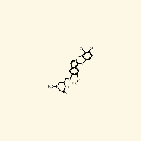 COc1cc2c(Nc3ccc(Cl)c(Cl)c3F)ncnc2cc1OC[C@@H]1CN(C)CC(=O)N1